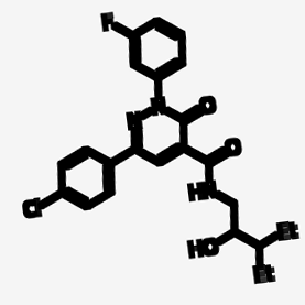 CCC(CC)C(O)CNC(=O)c1cc(-c2ccc(Cl)cc2)nn(-c2cccc(F)c2)c1=O